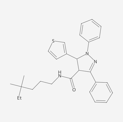 CCC(C)(C)CCCNC(=O)C1C(c2ccccc2)=NN(c2ccccc2)C1c1ccsc1